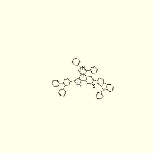 c1ccc(-c2nc(-c3ccccc3)nc(-c3cc(-c4ccc(-c5ccccc5)c(-c5ccccc5)c4)cnc3-c3ccc4c(c3)sc3c4ccc4c5ccccc5n(-c5ccccc5)c43)n2)cc1